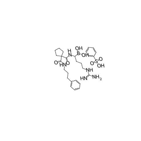 N=C(N)NCCCC(NC(=O)C1(C(=O)NCCCc2ccccc2)CCCC1)B(O)O.O=S(=O)(O)c1ccccc1